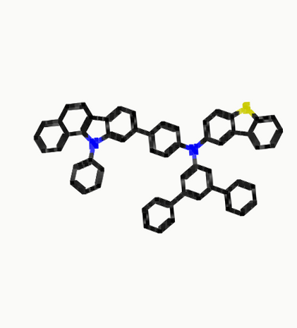 c1ccc(-c2cc(-c3ccccc3)cc(N(c3ccc(-c4ccc5c6ccc7ccccc7c6n(-c6ccccc6)c5c4)cc3)c3ccc4sc5ccccc5c4c3)c2)cc1